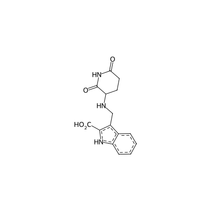 O=C1CCC(NCc2c(C(=O)O)[nH]c3ccccc23)C(=O)N1